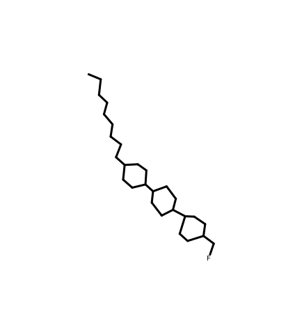 CCCCCCCCCC1CCC(C2CCC(C3CCC(CF)CC3)CC2)CC1